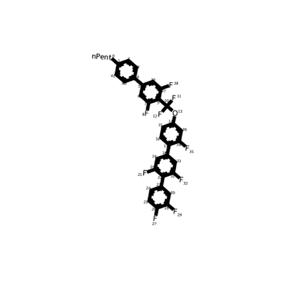 CCCCCc1ccc(-c2cc(F)c(C(F)(F)Oc3ccc(-c4cc(F)c(-c5ccc(F)c(F)c5)c(F)c4)c(F)c3)c(F)c2)cc1